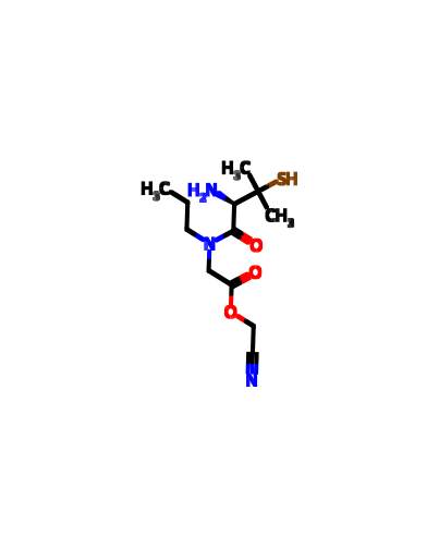 CCCN(CC(=O)OCC#N)C(=O)[C@@H](N)C(C)(C)S